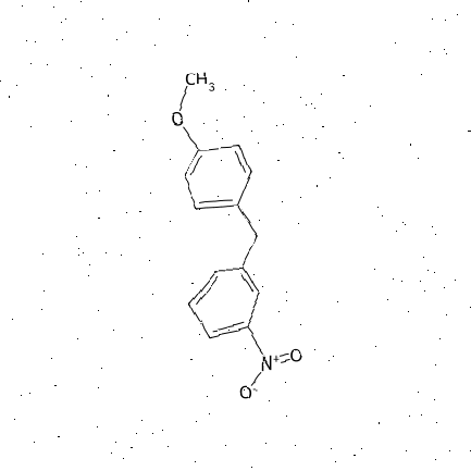 COc1ccc(Cc2cccc([N+](=O)[O-])c2)cc1